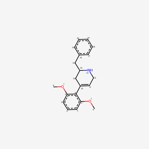 COc1cccc(OC)c1C1=CCNC(Cc2ccccc2)C1